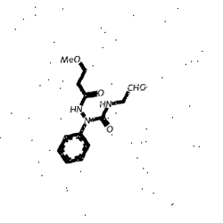 COCCC(=O)NN(C(=O)NC[C]=O)c1ccccc1